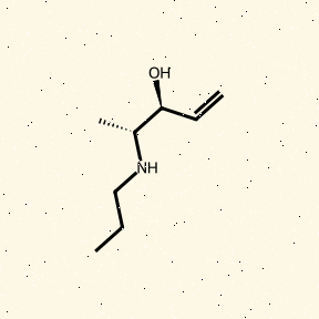 C=C[C@H](O)[C@@H](C)NCCC